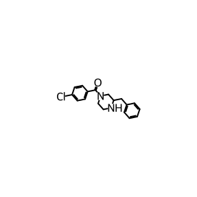 O=C(c1ccc(Cl)cc1)N1CCNC(Cc2ccccc2)C1